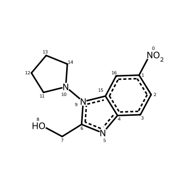 O=[N+]([O-])c1ccc2nc(CO)n(N3CCCC3)c2c1